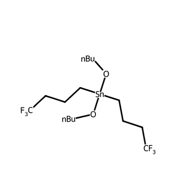 CCCC[O][Sn]([CH2]CCC(F)(F)F)([CH2]CCC(F)(F)F)[O]CCCC